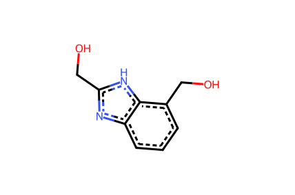 OCc1nc2cccc(CO)c2[nH]1